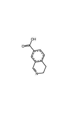 O=C(O)c1ccc2c(c1)C=NCC2